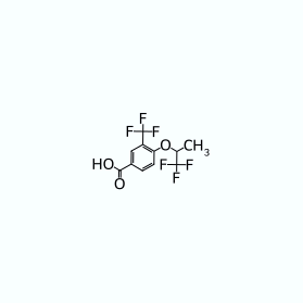 CC(Oc1ccc(C(=O)O)cc1C(F)(F)F)C(F)(F)F